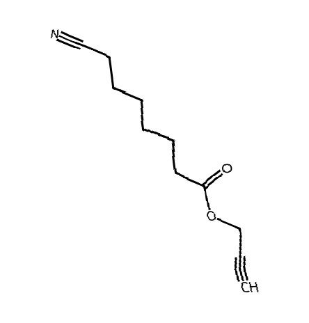 C#CCOC(=O)CCCCCCC#N